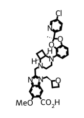 COc1cc2nc(CN3CCN(c4cccc5c4O[C@@](C)(c4ccc(Cl)cn4)O5)[C@@H]4CC[C@@H]43)n(C[C@@H]3CCO3)c2cc1C(=O)O